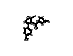 Cc1onc(-c2ccc(Br)cc2)c1C(=O)c1ccn(C)c1